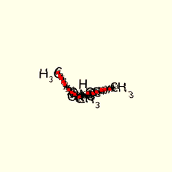 CCCCCCCCCCCCCCCOC(=O)CCN(C)CCNCCC(=O)OCCCCCCCCCCCCCC